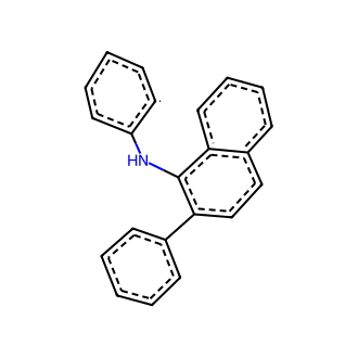 [c]1ccccc1Nc1c(-c2ccccc2)ccc2ccccc12